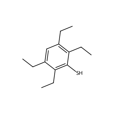 CCc1cc(CC)c(CC)c(S)c1CC